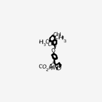 CC1(C)CCC(C)(C)c2cc(COc3ccc([C@@H](CC(=O)O)C4C=CON4)cc3)ccc21